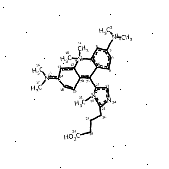 CN(C)c1ccc2c(c1)[Si](C)(C)C1=CC(=[N+](C)C)C=CC1=C2c1cnc(CCCC(=O)O)n1C